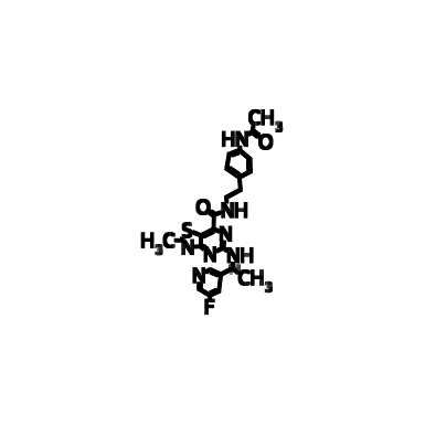 CC(=O)Nc1ccc(CCNC(=O)c2nc(N[C@@H](C)c3cncc(F)c3)nc3nc(C)sc23)cc1